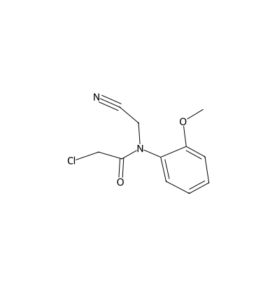 COc1ccccc1N(CC#N)C(=O)CCl